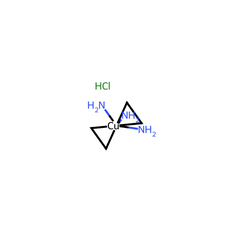 Cl.[NH2][Cu]12([NH2])([NH2])([CH2][CH2]1)[CH2][CH2]2